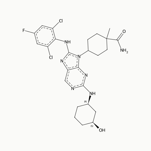 CC1(C(N)=O)CCC(n2c(Nc3c(Cl)cc(F)cc3Cl)nc3cnc(N[C@@H]4CCC[C@H](O)C4)nc32)CC1